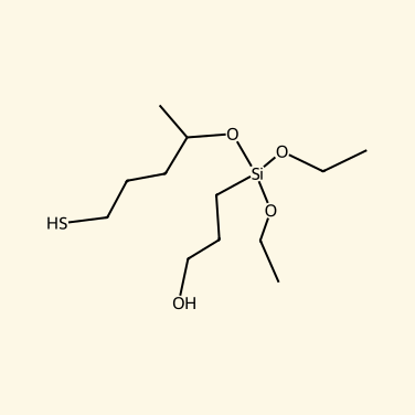 CCO[Si](CCCO)(OCC)OC(C)CCCS